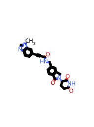 Cn1cnc2ccc(C#CC(=O)NCc3ccc4c(c3)CN(C3CCC(=O)NC3=O)C4=O)cc21